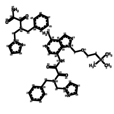 C[Si](C)(C)CCOCn1ncc2c(N)ncc(NC(=O)C(=O)N(Cc3ccccc3)Cn3cccn3)c21.NC(=O)C(=O)N(Cc1ccccc1)Cn1cccn1